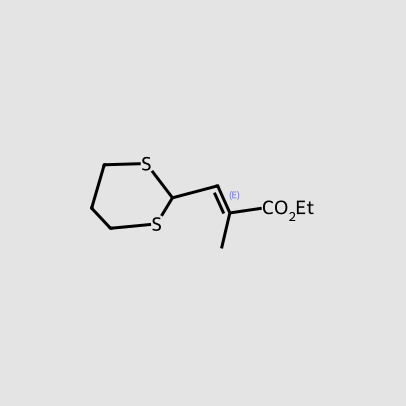 CCOC(=O)/C(C)=C/C1SCCCS1